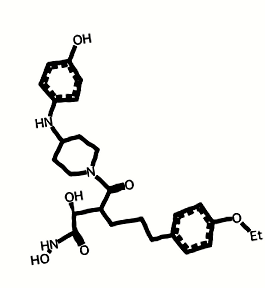 CCOc1ccc(CCCC(C(=O)N2CCC(Nc3ccc(O)cc3)CC2)[C@H](O)C(=O)NO)cc1